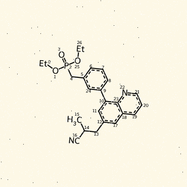 CCOP(=O)(Cc1cccc(-c2cc(CC(C)C#N)cc3cccnc23)c1)OCC